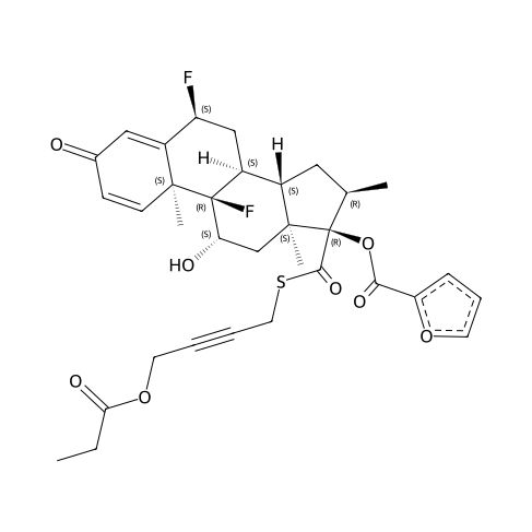 CCC(=O)OCC#CCSC(=O)[C@@]1(OC(=O)c2ccco2)[C@H](C)C[C@H]2[C@@H]3C[C@H](F)C4=CC(=O)C=C[C@]4(C)[C@@]3(F)[C@@H](O)C[C@@]21C